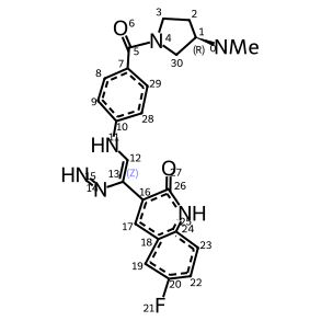 CN[C@@H]1CCN(C(=O)c2ccc(N/C=C(\N=N)c3cc4cc(F)ccc4[nH]c3=O)cc2)C1